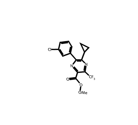 COOC(=O)c1nc(-c2cccc(Cl)c2)c(C2CC2)nc1C(F)(F)F